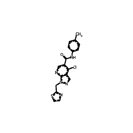 Cc1ccc(NC(=O)c2cnc3c(cnn3Cc3nccs3)c2Cl)cc1